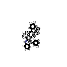 O=C1/C(=C/c2ccccc2Oc2ccccc2)SC(=S)N1NC1=NS(=O)(=O)c2ccccc21